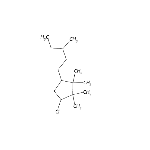 CCC(C)CCC1CC(Cl)C(C)(C)C1(C)C